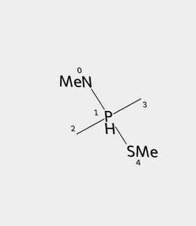 CN[PH](C)(C)SC